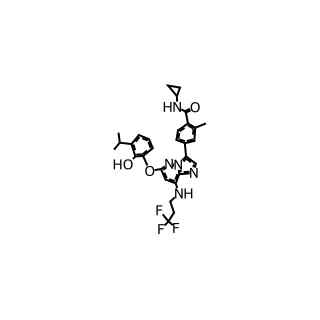 Cc1cc(-c2cnc3c(NCCC(F)(F)F)cc(Oc4cccc(C(C)C)c4O)nn23)ccc1C(=O)NC1CC1